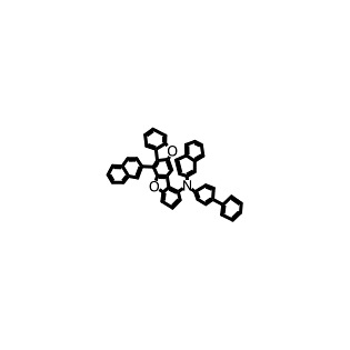 c1ccc(-c2ccc(N(c3ccc4ccccc4c3)c3cccc4oc5c(-c6ccc7ccccc7c6)c6c(cc5c34)oc3ccccc36)cc2)cc1